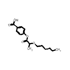 CCCCCCOC(C)C(=O)Oc1ccc(C(=O)O)cc1